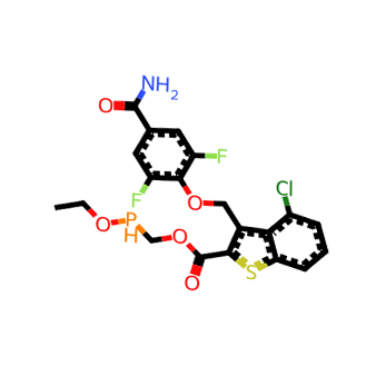 CCOPCOC(=O)c1sc2cccc(Cl)c2c1COc1c(F)cc(C(N)=O)cc1F